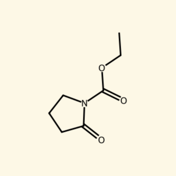 CCOC(=O)N1CCCC1=O